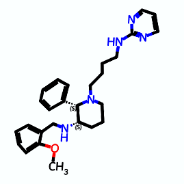 COc1ccccc1CN[C@H]1CCCN(CCCCNc2ncccn2)[C@H]1c1ccccc1